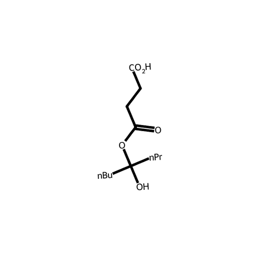 CCCCC(O)(CCC)OC(=O)CCC(=O)O